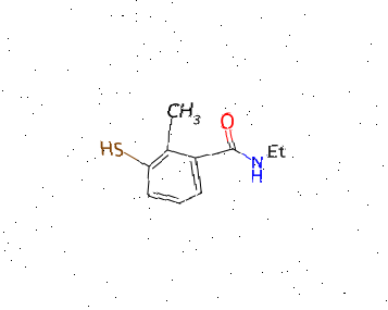 CCNC(=O)c1cccc(S)c1C